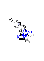 CCc1ncc(C)[nH]1.CCc1ncc(C)[nH]1.O=C(O)/C=C/C(=O)O